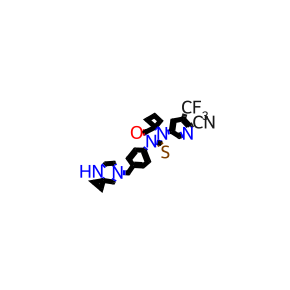 N#Cc1ncc(N2C(=S)N(c3ccc(CN4CCNC5(CC5)C4)cc3)C(=O)C23CCC3)cc1C(F)(F)F